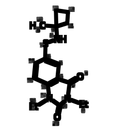 CCn1c(=O)c2cc(SNC3(C)CCC3)ccc2n(CC)c1=O